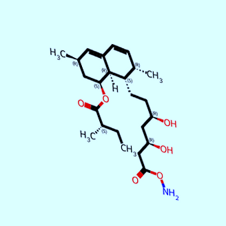 CC[C@H](C)C(=O)O[C@H]1C[C@@H](C)C=C2C=C[C@H](C)[C@H](CC[C@@H](O)C[C@@H](O)CC(=O)ON)[C@H]21